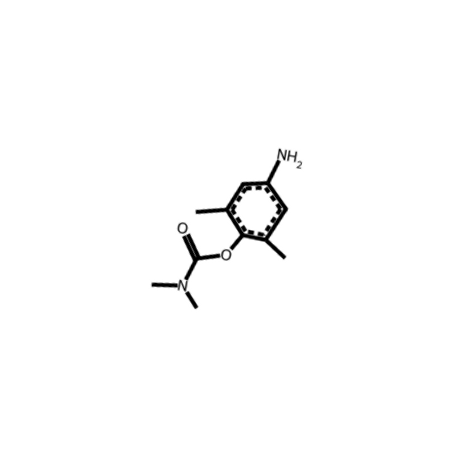 Cc1cc(N)cc(C)c1OC(=O)N(C)C